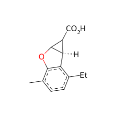 CCc1ccc(C)c2c1[C@H]1C(O2)C1C(=O)O